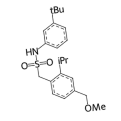 COCc1ccc(CS(=O)(=O)Nc2cccc(C(C)(C)C)c2)c(C(C)C)c1